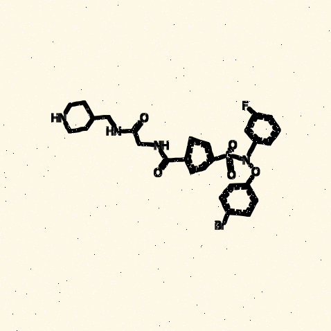 O=C(CNC(=O)c1ccc(S(=O)(=O)N(Oc2ccc(Br)cc2)c2cccc(F)c2)cc1)NCC1CCNCC1